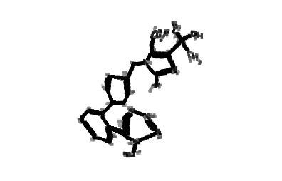 CCCc1nc(C(C)(C)O)c(C(=O)O)n1Cc1ccc(-c2ccccc2-c2nnnn2C(C)(C)C)cc1